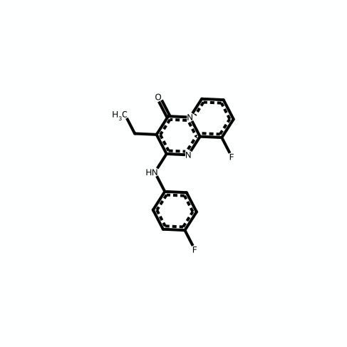 CCc1c(Nc2ccc(F)cc2)nc2c(F)cccn2c1=O